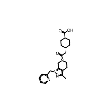 Cc1nn(Cc2ccccn2)c2c1CCN(C(=O)C[C@H]1CC[C@H](C(=O)O)CC1)C2